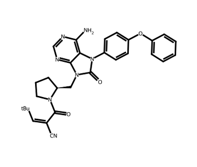 CC(C)(C)/C=C(/C#N)C(=O)N1CCC[C@H]1Cn1c(=O)n(-c2ccc(Oc3ccccc3)cc2)c2c(N)ncnc21